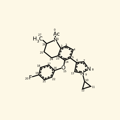 CC(=O)N1c2ccc(-c3cnn(C4CC4)c3)c(Oc3ccc(F)cc3)c2CCC1C